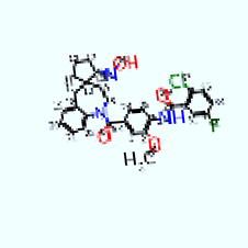 COc1cc(C(=O)N2CCC3(CCCC3=NO)Cc3ccccc32)ccc1NC(=O)c1cc(F)ccc1Cl